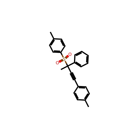 Cc1ccc(C#CC(C)(c2ccccc2)S(=O)(=O)c2ccc(C)cc2)cc1